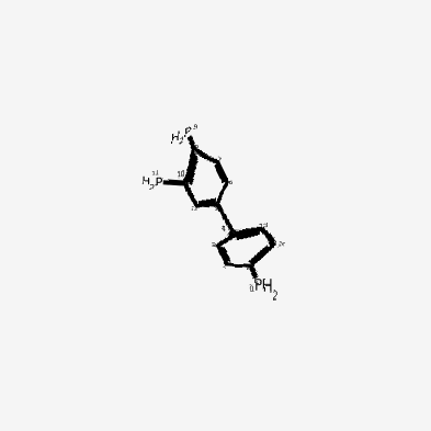 Pc1ccc(-c2ccc(P)c(P)c2)cc1